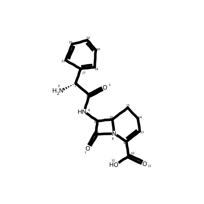 N[C@@H](C(=O)NC1C(=O)N2C(C(=O)O)=CCCC12)c1ccccc1